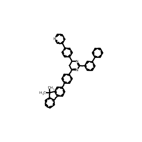 CC1(C)c2ccccc2-c2ccc(-c3ccc(C4=NC(c5cccc(-c6ccccc6)c5)=NC(c5ccc(-c6cccnc6)cc5)C4)cc3)cc21